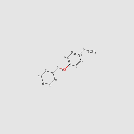 CCc1ccc(OCC2CCCCC2)cc1